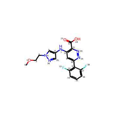 COCCn1cc(Nc2cc(-c3c(F)cccc3F)nnc2C(=O)O)cn1